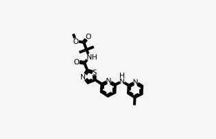 COC(=O)C(C)(C)NC(=O)c1ncc(-c2cccc(Nc3cc(C)ccn3)n2)s1